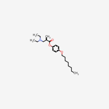 C=C(CN(CC)CC)C(=O)Oc1ccc(OCCCCCCCC)cc1